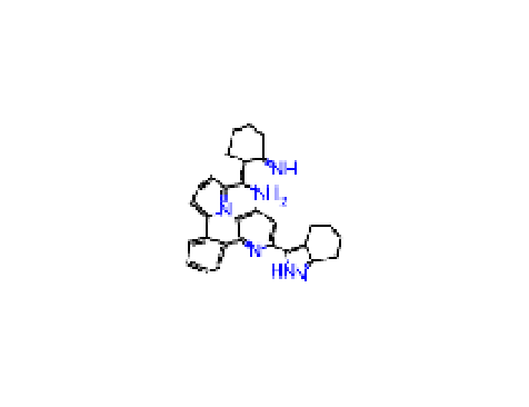 N=C1CCCC/C1=C(/N)c1cccc(-c2ccccc2-c2cccc(-c3[nH]nc4c3CCCC4)n2)n1